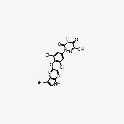 CC(C)c1c[nH]c2ncc(Oc3c(Cl)cc(-n4nc(C#N)c(=O)[nH]c4=O)cc3Cl)nc12